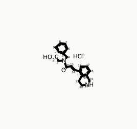 Cl.O=C(O)CN(Cc1ccccc1)C(=O)C=Cc1cccc2c1CCNC2